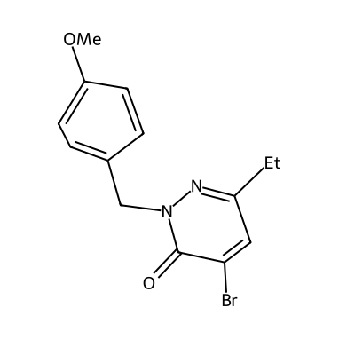 CCc1cc(Br)c(=O)n(Cc2ccc(OC)cc2)n1